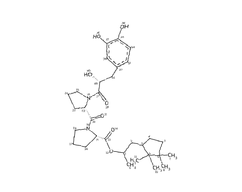 CC(CC1CCC(C)(C)C1(C)C)OC(=O)[C@@H]1CCCN1C(=O)[C@@H]1CCCN1C(=O)[C@H](O)Cc1ccc(O)c(O)c1